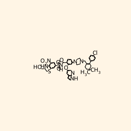 CC1(C)CCC(CN2CCN(c3ccc(C(=O)NS(=O)(=O)c4cc5c(c([N+](=O)[O-])c4)N[C@H](CO)CS5)c(Oc4cnc5[nH]ccc5c4)c3)CC2)=C(c2ccc(Cl)cc2)C1